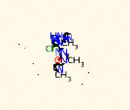 Cc1cccc(CN2C(=O)c3nc(-c4nc(Nc5ccnn5C)ncc4Cl)cn3C[C@@H]2C)n1